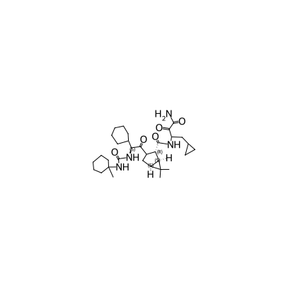 CC1(NC(=O)N[C@H](C(=O)C2C[C@H]3[C@@H]([C@H]2C(=O)NC(CC2CC2)C(=O)C(N)=O)C3(C)C)C2CCCCC2)CCCCC1